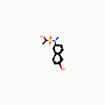 CC(O)S(=O)(=O)N(C)c1ccc2cc(O)ccc2c1